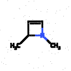 CC1C=CN1C